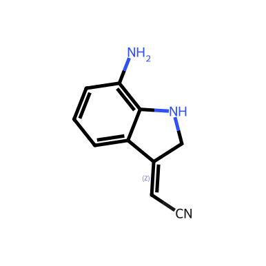 N#C/C=C1\CNc2c(N)cccc21